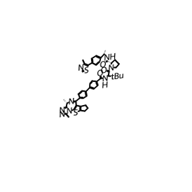 Cc1ncsc1-c1ccc([C@H](C)NC(=O)[C@@H]2CCCN2C(=O)C(NC(=O)c2ccc(-c3ccc(C4=N[C@@H](C)c5nnc(C)n5-c5sc6c(c54)CCC6)cc3)cc2)C(C)(C)C)cc1